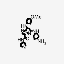 COc1ccc(Nc2cc(NC3CCC(N)CC3)nn3c(C(=O)Nc4ccncc4)cnc23)cc1